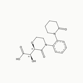 O=C(O)[C@H](O)[C@H]1OCCN(c2ccccc2N2CCCCC2=O)C1=O